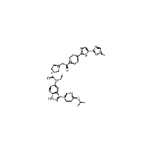 CCN(C(=O)[C@@H]1CCN(CC(=O)N2CC=C(c3ncc(-c4ncn(C)n4)s3)CC2)C1)c1ccc2[nH]nc(-c3ccc(OC(C)C)nc3)c2n1